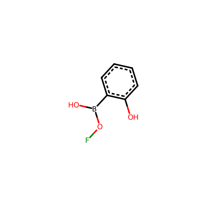 OB(OF)c1ccccc1O